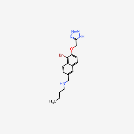 CCCCNCc1ccc2c(Br)c(OCc3nnn[nH]3)ccc2c1